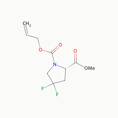 C=CCOC(=O)N1CC(F)(F)C[C@H]1C(=O)OC